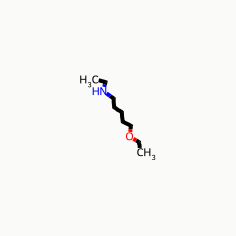 CCNCCCCCOCC